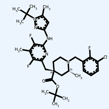 Cc1c(F)c(C[C@@]2(C(=O)OC(C)(C)C)CCN(Cc3cccc(Cl)c3F)[C@H](C)C2)nc(Nc2cc(C)n(C(C)(C)C)n2)c1F